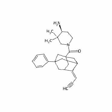 C#CC=C1C2CC3(C(=O)N4CC[C@H](N)C(C)(C)C4)CC1CC(c1ccccc1)(C2)C3